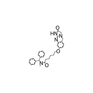 CN(C(=O)CCCCCOc1ccc2c(c1)N=C1NC(=O)CN1C2)C(c1ccccc1)c1ccccc1